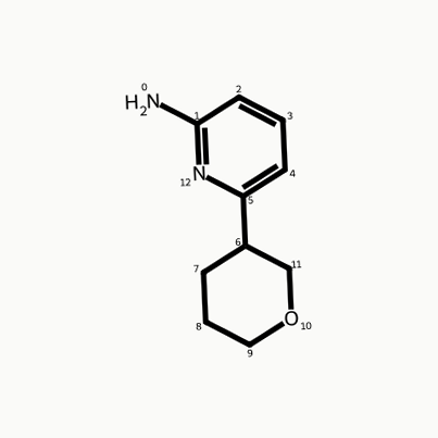 Nc1cccc(C2CCCOC2)n1